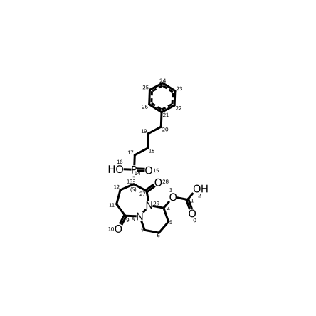 O=C(O)OC1CCCN2C(=O)CC[C@H](P(=O)(O)CCCCc3ccccc3)C(=O)N12